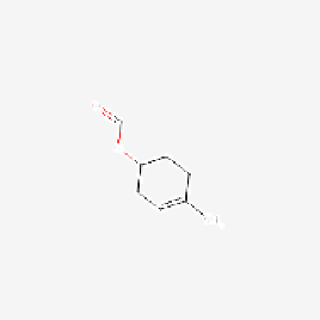 CC1=CCC(OC=O)CC1